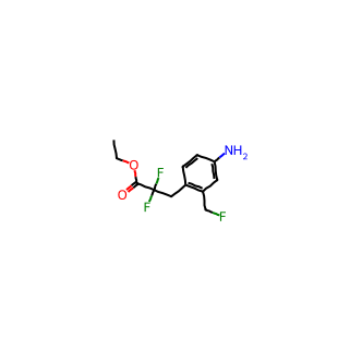 CCOC(=O)C(F)(F)Cc1ccc(N)cc1CF